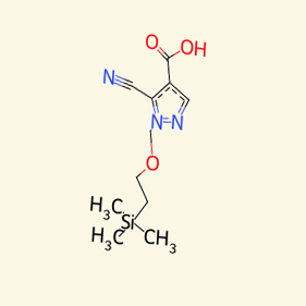 C[Si](C)(C)CCOCn1ncc(C(=O)O)c1C#N